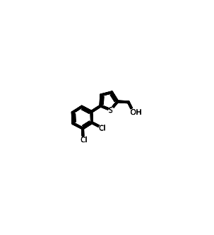 OCc1ccc(-c2cccc(Cl)c2Cl)s1